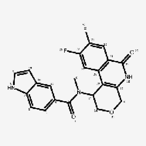 CN(C(=O)c1ccc2[nH]ccc2c1)C1COCc2[nH]c(=O)c3cc(F)c(F)cc3c21